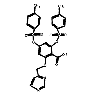 Cc1ccc(S(=O)(=O)Oc2cc(OCc3ccncn3)c(C(=O)O)c(OS(=O)(=O)c3ccc(C)cc3)c2)cc1